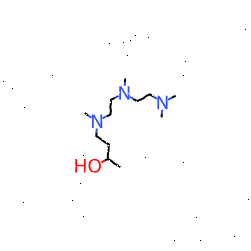 CC(O)CCN(C)CCN(C)CCN(C)C